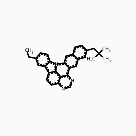 CCc1ccc2c(c1)c1ccc3ncnc4c5cc6cc(CC(C)(C)C)ccc6cc5n2c1c34